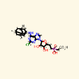 C[C@]12C[C@@H]3C[C@](C)(C1)C[C@@](Nc1nc(Cl)nc4c1ncn4C1OC(CCP(=O)(O)CC(=O)O)C(O)C1O)(C3)C2